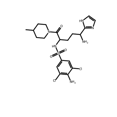 CC1CCN(C(=O)C(CCC(N)c2ncc[nH]2)NS(=O)(=O)c2cc(Cl)c(N)c(Cl)c2)CC1